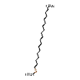 CCCCCCCCCCCCCCCCCCCCCCCCCCCCSCCCCCC